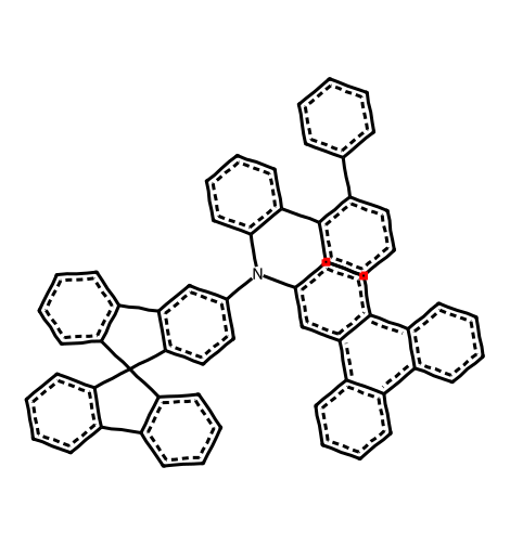 c1ccc(-c2ccccc2-c2ccccc2N(c2ccc3c(c2)-c2ccccc2C32c3ccccc3-c3ccccc32)c2ccc3c4ccccc4c4ccccc4c3c2)cc1